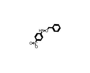 O=[N+]([O-])c1ccc(NOCc2ccccc2)cc1